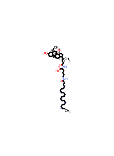 CC/C=C\C/C=C\C/C=C\C/C=C\C/C=C\C/C=C\CCC(=O)NCCCCC(NC(=O)CC[C@@H](C)C1CC[C@H]2[C@@H]3[C@H](O)[C@H](CC)[C@@H]4C[C@H](O)CC[C@]4(C)[C@H]3CC[C@]12C)C(=O)O